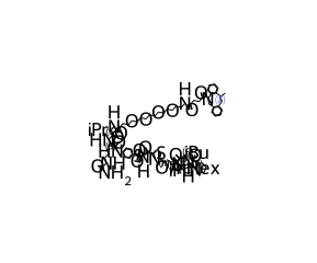 CCCCCCN(C(=O)[C@@H](NC(=O)[C@H]1CCCCN1C)[C@@H](C)CC)[C@H](C[C@@H](OC(C)=O)c1nc(C(=O)NS(=O)(=O)c2ccc(NC(=O)[C@H](CCCNC(N)=O)NC(=O)[C@@H](NC(=O)CCOCCOCCOCCOCCNC(=O)CCC(=O)N3Cc4ccccc4/C=C(/C)c4ccccc43)C(C)C)cc2)cs1)C(C)C